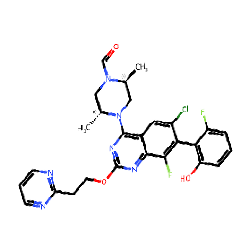 C[C@@H]1CN(C=O)[C@@H](C)CN1c1nc(OCCc2ncccn2)nc2c(F)c(-c3c(O)cccc3F)c(Cl)cc12